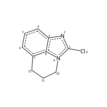 Clc1nc2cccc3c2n1CCC3